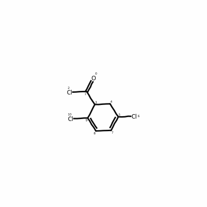 O=C(Cl)C1CC(Cl)=CC=C1Cl